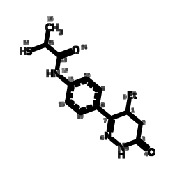 CCC1CC(=O)NN=C1c1ccc(NC(=O)C(C)S)cc1